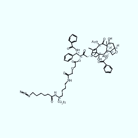 CCOC(=O)[C@H](CCCCNC(=O)COCC(=O)O[C@@H](C(=O)C[C@H]1C[C@@]2(O)[C@@H](OC(=O)c3ccccc3)[C@@H]3[C@]4(OC(C)=O)CO[C@@H]4C[C@H](O)[C@@]3(C)C(=O)[C@H](OC(C)=O)C(=C1C)C2(C)C)[C@@H](NC(=O)c1ccccc1)c1ccccc1)NC(=O)CCCCCN=[N+]=[N-]